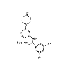 CC(Nc1cc(N2CCNCC2)ccc1[N+](=O)[O-])c1cc(Cl)cc(Cl)c1.Cl